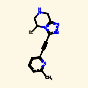 CCC1CNCc2nnc(C#Cc3cccc(C)n3)n21